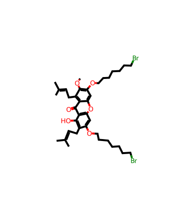 COc1c(OCCCCCCCBr)cc2oc3cc(OCCCCCCCBr)c(CC=C(C)C)c(O)c3c(=O)c2c1CC=C(C)C